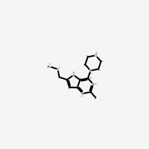 CC(=O)SCc1cc2nc(C)nc(N3CCOCC3)c2s1